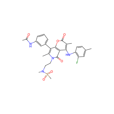 CC(=O)Nc1cccc(-c2c(C)n(CCN(C)S(C)(=O)=O)c(=O)c3c(Nc4ccc(C)cc4F)c(C)c(=O)oc23)c1